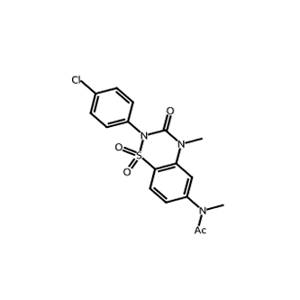 CC(=O)N(C)c1ccc2c(c1)N(C)C(=O)N(c1ccc(Cl)cc1)S2(=O)=O